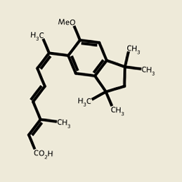 COc1cc2c(cc1\C(C)=C/C=C/C(C)=C/C(=O)O)C(C)(C)CC2(C)C